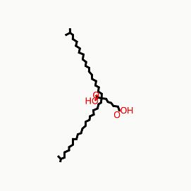 CC(C)CCCCCCCCCCCCCCCCCCCC(CCCCCCCCCCCCCCCCCCCC(C)C)(CCCCCC(=O)O)C(=O)O